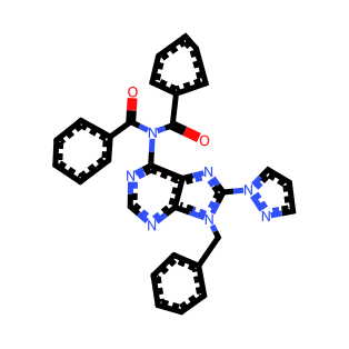 O=C(c1ccccc1)N(C(=O)c1ccccc1)c1ncnc2c1nc(-n1cccn1)n2Cc1ccccc1